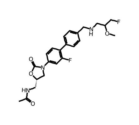 COC(CF)CNCc1ccc(-c2ccc(N3C[C@H](CNC(C)=O)OC3=O)cc2F)cc1